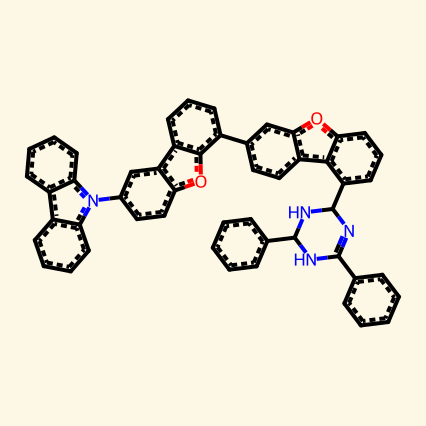 c1ccc(C2=NC(c3cccc4oc5cc(-c6cccc7c6oc6ccc(-n8c9ccccc9c9ccccc98)cc67)ccc5c34)NC(c3ccccc3)N2)cc1